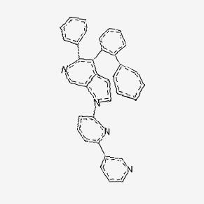 c1ccc(-c2ccccc2-c2c(-c3ccccc3)ncc3c2ccn3-c2cccc(-c3cccnc3)n2)cc1